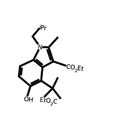 CCOC(=O)c1c(C)n(CC(C)C)c2ccc(O)c(C(C)(C)C(=O)OCC)c12